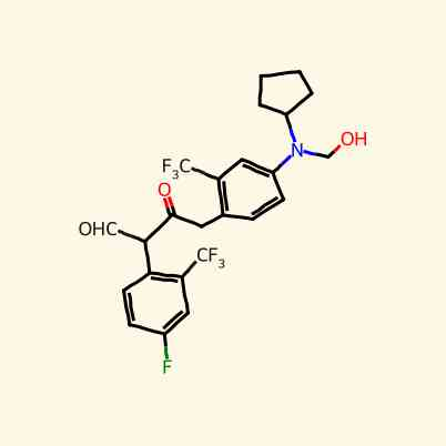 O=CC(C(=O)Cc1ccc(N(CO)C2CCCC2)cc1C(F)(F)F)c1ccc(F)cc1C(F)(F)F